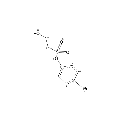 CCC(C)c1ccc(OS(=O)(=O)CCO)cc1